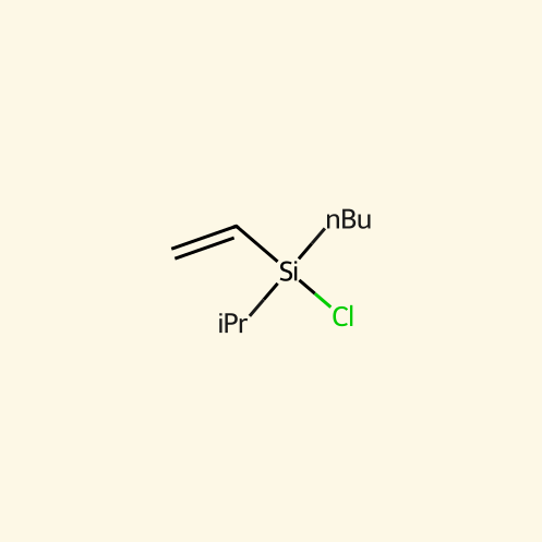 C=C[Si](Cl)(CCCC)C(C)C